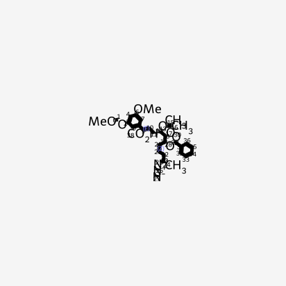 COCOc1cc(OC)cc(/C=C/C[C@@H]2OC(C)(C)OC2C(/C=C\C[C@H](C)N=[N+]=[N-])OC(=O)c2ccccc2)c1C(=O)O